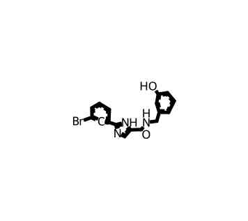 O=C(NCc1cccc(O)c1)c1cnc(-c2cccc(Br)c2)[nH]1